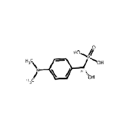 CN(C)c1ccc([C@@H](O)P(=O)(O)O)cc1